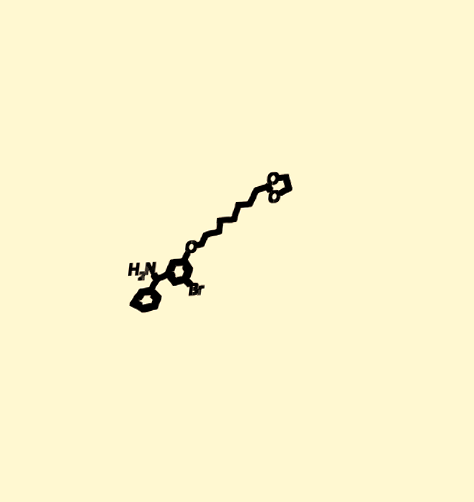 NC(c1ccccc1)c1cc(Br)cc(OCCCCCCCCC2OCCO2)c1